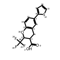 O=C(O)C1Cc2cc(-c3cccs3)ccc2OC1C(F)(F)F